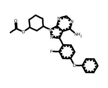 CC(=O)OC1CCCC(n2nc(-c3ccc(Oc4ccccc4)cc3F)c3c(N)ncnc32)C1